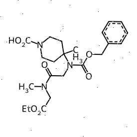 CCOC(=O)CN(C)C(=O)CN(C(=O)OCc1ccccc1)C1(C)CCN(C(=O)O)CC1